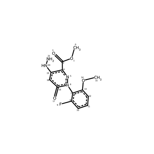 COC(=O)c1nn(-c2c(F)cccc2OC)c(=O)cc1NN